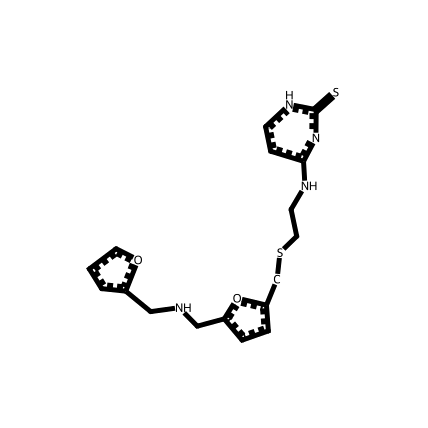 S=c1nc(NCCSCc2ccc(CNCc3ccco3)o2)cc[nH]1